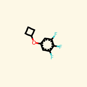 Fc1cc(OC2CCC2)cc(F)c1F